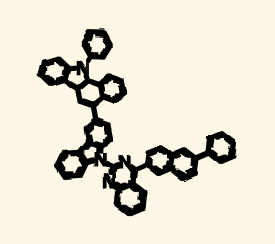 C1=C(c2ccc3c(c2)c2ccccc2n3-c2nc(-c3ccc4cc(-c5ccccc5)ccc4c3)c3ccccc3n2)c2ccccc2C2C1c1ccccc1N2c1ccccc1